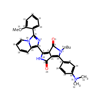 CCCCN1C(=O)C2=C(c3nc(-c4ccccc4OC)n4ccccc34)NC(=O)C2=C1c1ccc(N(C)C)cc1